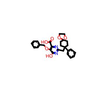 O=C(O)c1nc(CC2(c3ccccc3)CCC3(CC2)OCCO3)nc(O)c1OCc1ccccc1